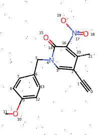 C#Cc1cn(Cc2ccc(OC)cc2)c(=O)c([N+](=O)[O-])c1C